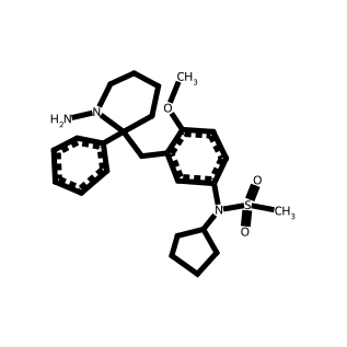 COc1ccc(N(C2CCCC2)S(C)(=O)=O)cc1CC1(c2ccccc2)CCCCN1N